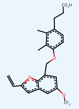 C=Cc1cc2cc(OC(F)(F)F)cc(COc3ccc(CCC(=O)O)c(C)c3C)c2o1